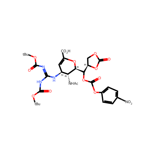 CC(=O)N[C@@H]1[C@@H](NC(=NC(=O)OC(C)(C)C)NC(=O)OC(C)(C)C)C=C(C(=O)O)O[C@H]1C(OC(=O)Oc1ccc([N+](=O)[O-])cc1)[C@H]1COC(=O)O1